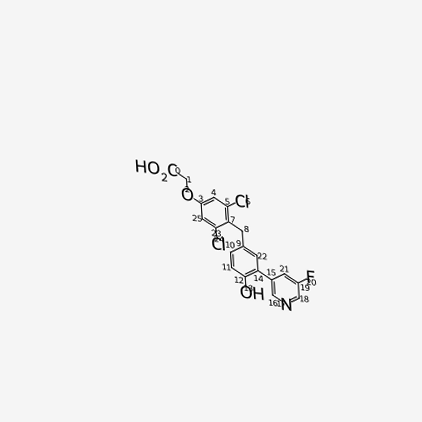 O=C(O)COc1cc(Cl)c(Cc2ccc(O)c(-c3cncc(F)c3)c2)c(Cl)c1